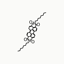 CCCCCCCCN1C(=O)C2=CCc3c4c5c6c(ccc5c5ccc(c2c35)C1=O)C(=O)N(CCCCCCCC)C(=O)C6C=C4